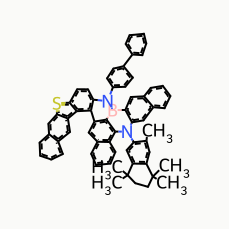 Cc1cc2c(cc1N1c3cc4ccccc4cc3B3c4c(cc5ccccc5c41)-c1c(ccc4sc5cc6ccccc6cc5c14)N3c1ccc(-c3ccccc3)cc1)C(C)(C)CCC2(C)C